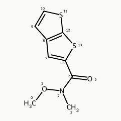 CON(C)C(=O)c1cc2ccsc2s1